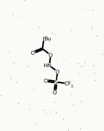 CC(C)(C)C(=O)ONOS(=O)(=O)C(F)(F)F